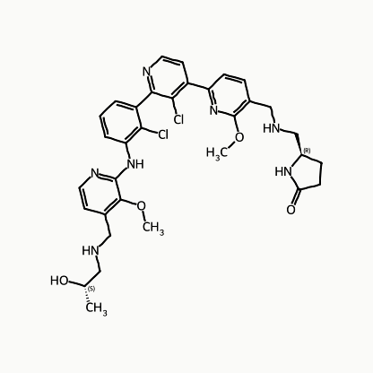 COc1nc(-c2ccnc(-c3cccc(Nc4nccc(CNC[C@H](C)O)c4OC)c3Cl)c2Cl)ccc1CNC[C@H]1CCC(=O)N1